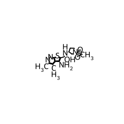 Cc1nnc2sc(C(O)N[C@@H]3CCN(S(C)(=O)=O)C3)c(N)c2c1C